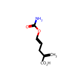 C=C(CC=COC(N)=O)C(=O)O